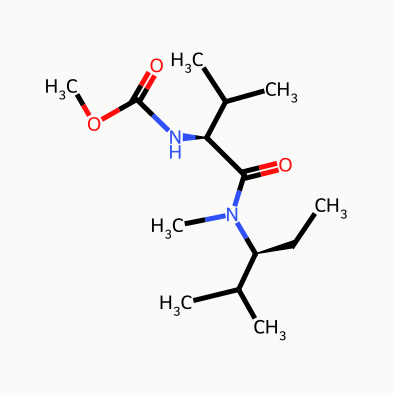 CC[C@@H](C(C)C)N(C)C(=O)[C@@H](NC(=O)OC)C(C)C